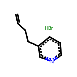 Br.C=CCCc1cccnc1